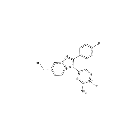 Nc1nc(-c2c(-c3ccc(F)cc3)nc3cc(CO)ccn23)cc[n+]1[O-]